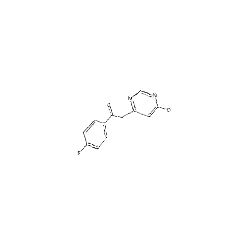 O=C(Cc1cc(Cl)ncn1)c1ccc(F)cc1